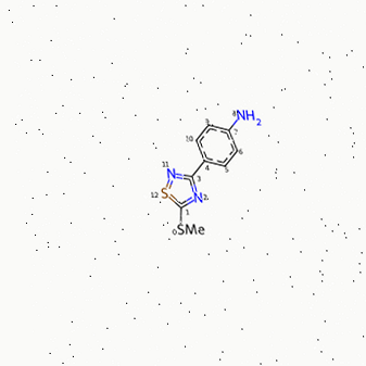 CSc1nc(-c2ccc(N)cc2)ns1